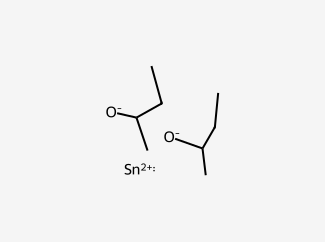 CCC(C)[O-].CCC(C)[O-].[Sn+2]